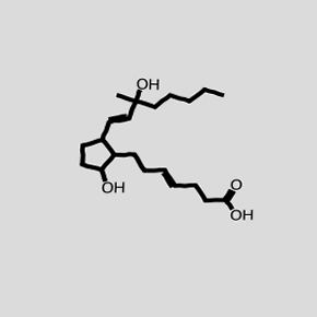 CCCCCC(C)(O)C=CC1CCC(O)C1CCC=CCCC(=O)O